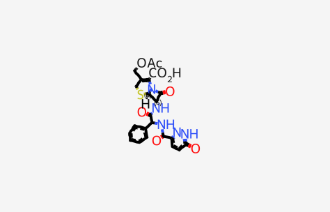 CC(=O)OCC1=C(C(=O)O)N2C(=O)[C@H](NC(=O)C(NC(=O)c3ccc(=O)[nH]n3)c3ccccc3)[C@H]2SC1